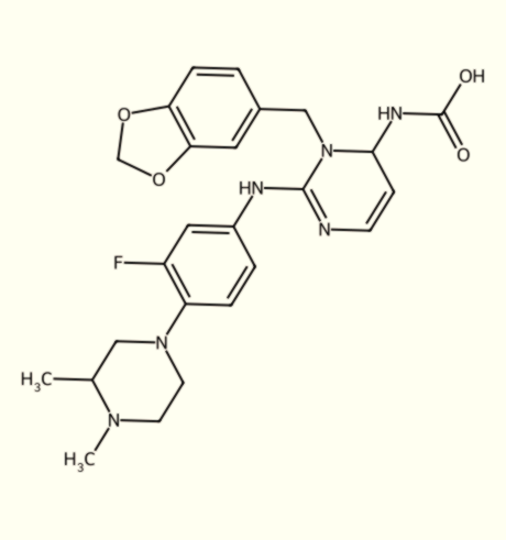 CC1CN(c2ccc(NC3=NC=CC(NC(=O)O)N3Cc3ccc4c(c3)OCO4)cc2F)CCN1C